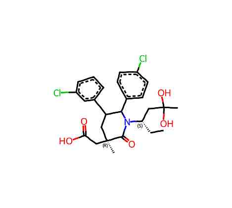 CC[C@@H](CC(C)(O)O)N1C(=O)[C@@](C)(CC(=O)O)CC(c2cccc(Cl)c2)C1c1ccc(Cl)cc1